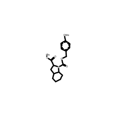 COc1ccc(COC(=O)N2C(C(=O)OC(C)(C)C)CC3CCCCC32)cc1